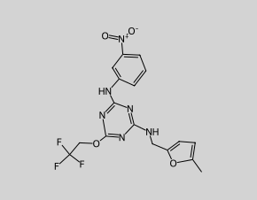 Cc1ccc(CNc2nc(Nc3cccc([N+](=O)[O-])c3)nc(OCC(F)(F)F)n2)o1